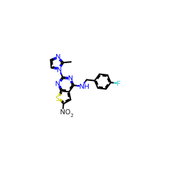 Cc1nccn1-c1nc(NCc2ccc(F)cc2)c2cc([N+](=O)[O-])sc2n1